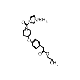 C=CCOC(=O)Cc1ccc(OC2CCN(C(=O)n3cc[n+](C)c3)CC2)cc1